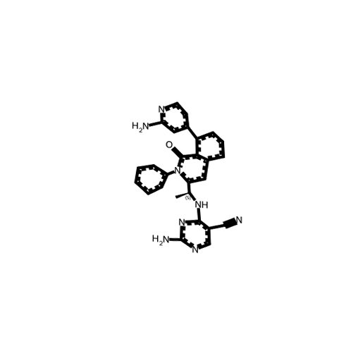 C[C@H](Nc1nc(N)ncc1C#N)c1cc2cccc(-c3ccnc(N)c3)c2c(=O)n1-c1ccccc1